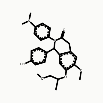 COCC(C)Oc1cc2c(cc1OC)CC(=O)N(c1ccc(N(C)C)cc1)C2c1ccc(O)cc1